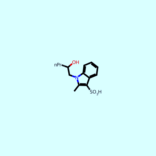 CCCC(O)Cn1c(C)c(S(=O)(=O)O)c2ccccc21